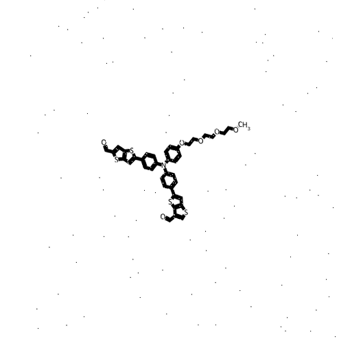 COCCOCCOCCOc1ccc(N(c2ccc(-c3cc4sc(C=O)cc4s3)cc2)c2ccc(-c3cc4scc(C=O)c4s3)cc2)cc1